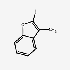 Cc1c(I)oc2ccccc12